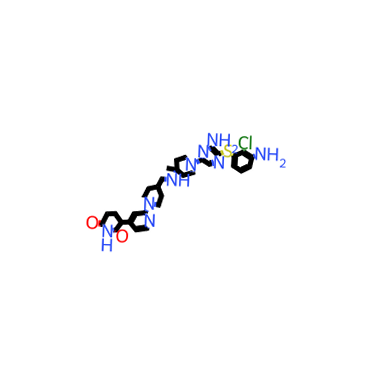 CC1(NCC2CCN(c3cc(C4CCC(=O)NC4=O)ccn3)CC2)CCN(c2cnc(Sc3cccc(N)c3Cl)c(N)n2)CC1